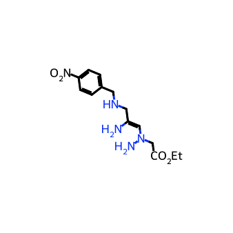 CCOC(=O)CN(N)/C=C(\N)CNCc1ccc([N+](=O)[O-])cc1